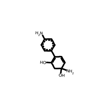 Nc1ccc(C2=C(O)CC(N)(O)C=C2)cc1